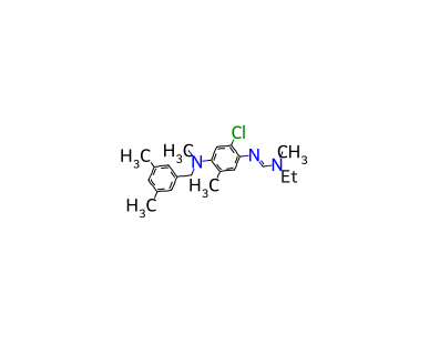 CCN(C)C=Nc1cc(C)c(N(C)Cc2cc(C)cc(C)c2)cc1Cl